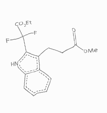 CCOC(=O)C(F)(F)c1[nH]c2ccccc2c1CCC(=O)OC